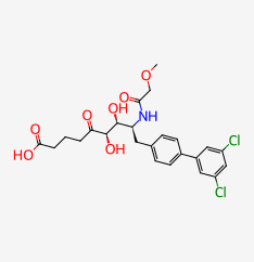 COCC(=O)N[C@@H](Cc1ccc(-c2cc(Cl)cc(Cl)c2)cc1)[C@H](O)[C@@H](O)C(=O)CCCC(=O)O